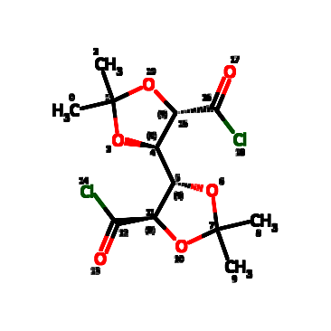 CC1(C)O[C@H]([C@@H]2OC(C)(C)O[C@H]2C(=O)Cl)[C@@H](C(=O)Cl)O1